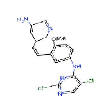 COc1ccc(Nc2nc(Cl)ncc2Cl)cc1/C=C\C1C=C(N)C=NC1